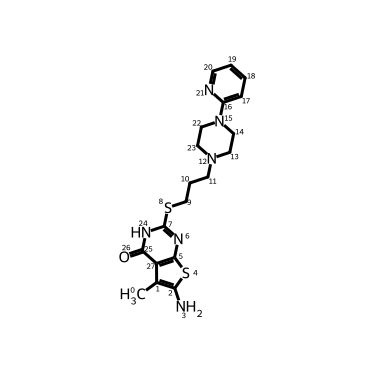 Cc1c(N)sc2nc(SCCCN3CCN(c4ccccn4)CC3)[nH]c(=O)c12